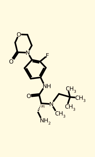 CN(CC(C)(C)C)[C@H](CN)C(=O)Nc1ccc(N2CCOCC2=O)c(F)c1